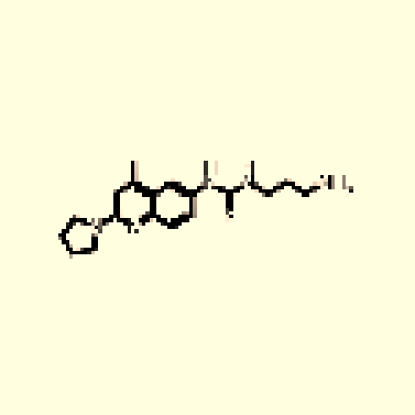 Cc1cc(N2CCCC2)nc2ccc(NC(=S)NCCCN)cc12